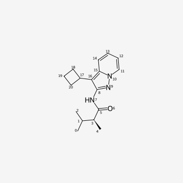 CC(C)[C@H](C)C(=O)Nc1nn2ccccc2c1C1CCC1